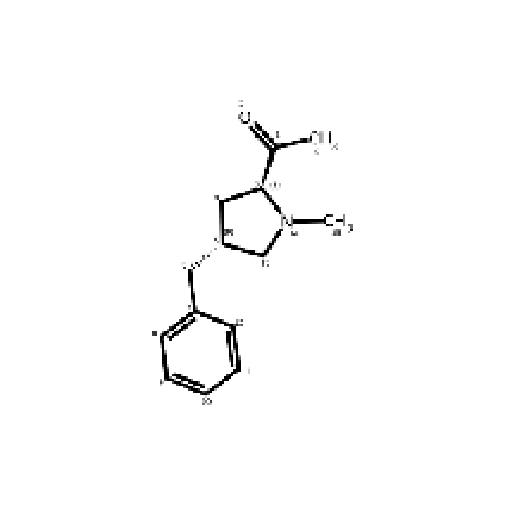 CC(=O)[C@@H]1C[C@@H](Cc2ccccc2)CN1C